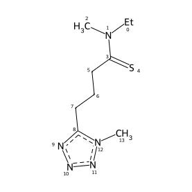 CCN(C)C(=S)CCCc1nnnn1C